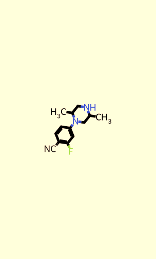 CC1CN(c2ccc(C#N)c(F)c2)C(C)CN1